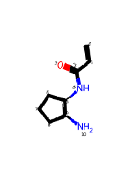 C=CC(=O)N[C@@H]1CCC[C@@H]1N